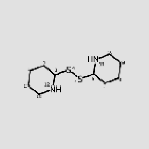 C1CCC(SSC2CCCCN2)NC1